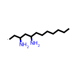 [CH2]CC(N)CC(N)CCCCCCC